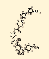 CCN(C(=O)[C@@H]1CCN(CC(=O)N2CC=C(c3ncc(-c4ncn(C)n4)s3)CC2)C1)c1ccc2[nH]nc(-c3ccc(OC(C)C)cc3)c2n1